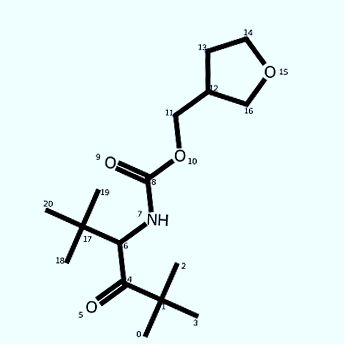 CC(C)(C)C(=O)C(NC(=O)OCC1CCOC1)C(C)(C)C